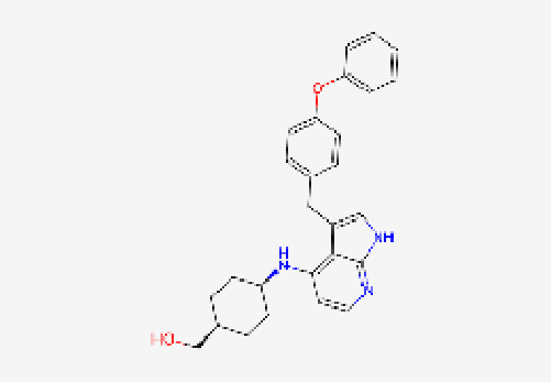 OC[C@H]1CC[C@@H](Nc2ccnc3[nH]cc(Cc4ccc(Oc5ccccc5)cc4)c23)CC1